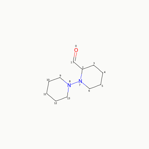 O=[C]C1CCCCN1N1CCCCC1